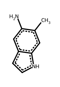 Cc1cc2[nH]ccc2cc1N